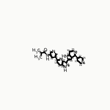 CC(C)C(=O)Nc1cncc(-c2ccc3[nH]nc(-c4cc5c(-c6ccncc6)nccc5[nH]4)c3n2)c1